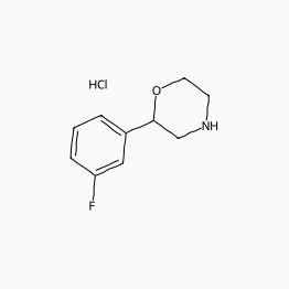 Cl.Fc1cccc(C2CNCCO2)c1